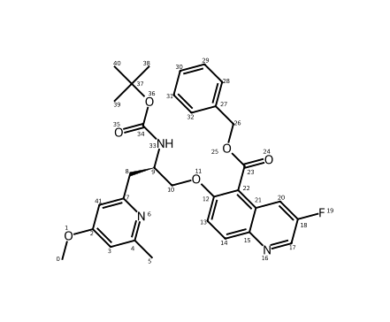 COc1cc(C)nc(C[C@H](COc2ccc3ncc(F)cc3c2C(=O)OCc2ccccc2)NC(=O)OC(C)(C)C)c1